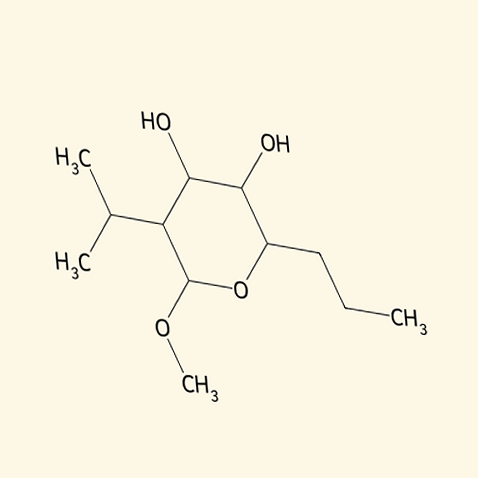 CCCC1OC(OC)C(C(C)C)C(O)C1O